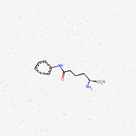 N[C@@H](CCCC(=O)Nc1ccccc1)C(=O)O